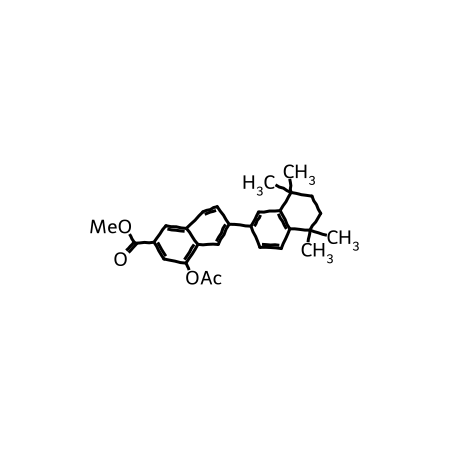 COC(=O)c1cc(OC(C)=O)c2cc(-c3ccc4c(c3)C(C)(C)CCC4(C)C)ccc2c1